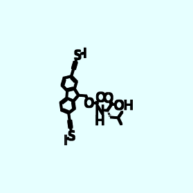 CC(C)C[C@H](NC(=O)OCC1c2cc(C#CSI)ccc2-c2ccc(C#CSI)cc21)C(=O)O